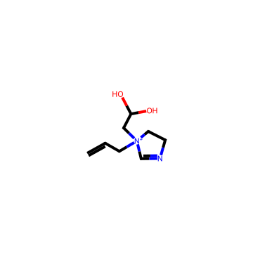 C=CC[N+]1(CC(O)O)C=NCC1